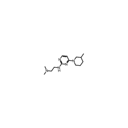 CC1CCCN(c2ccnc(NCCN(C)C)n2)C1